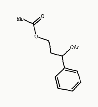 CC(=O)OC(CCOC(=O)C(C)(C)C)c1ccccc1